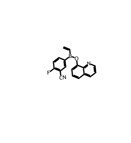 C=CB(Oc1cccc2cccnc12)c1ccc(F)c(C#N)c1